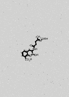 CON=C(C)CCC(=O)NC1Cc2cccc(C(=O)O)c2OB1O